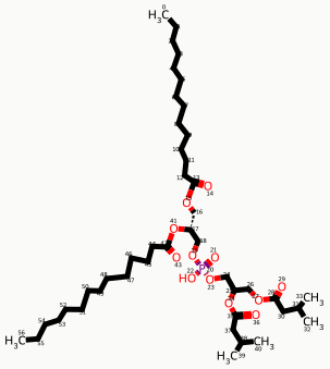 CCCCCCCCCCCCCC(=O)OC[C@H](COP(=O)(O)OCC(COC(=O)CC(C)C)OC(=O)CC(C)C)OC(=O)CCCCCCCCCCCCC